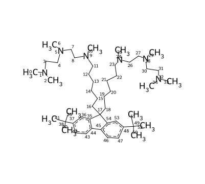 CN(C)CCN(C)CCN(C)CCCCCCC1(CCCCCCN(C)CCN(C)CCN(C)C)c2cc(C(C)(C)C)ccc2-c2ccc(C(C)(C)C)cc21